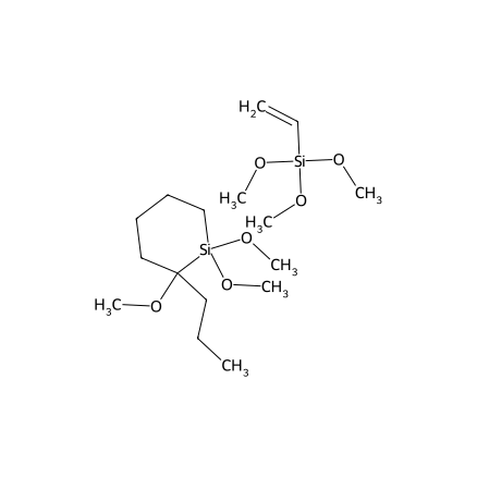 C=C[Si](OC)(OC)OC.CCCC1(OC)CCCC[Si]1(OC)OC